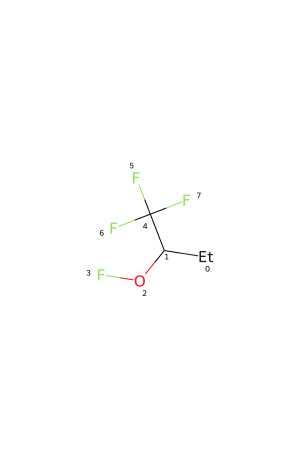 CCC(OF)C(F)(F)F